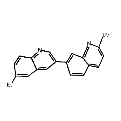 CCc1ccc2ncc(-c3ccc4ccc(C(C)C)nc4c3)cc2c1